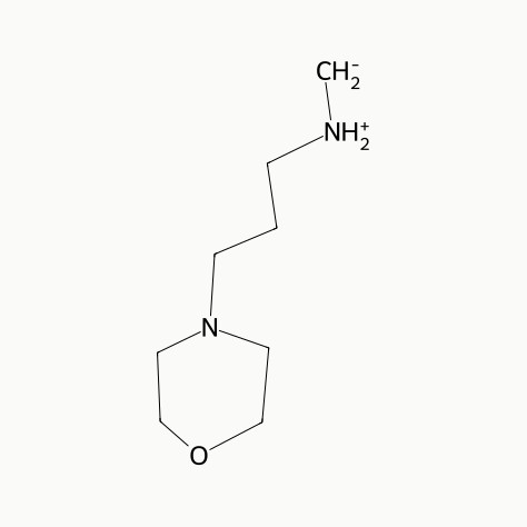 [CH2-][NH2+]CCCN1CCOCC1